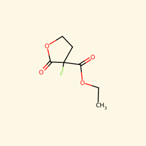 CCOC(=O)C1(F)CCOC1=O